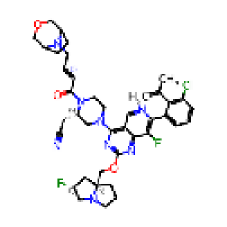 C=C(C)c1c(Cl)cccc1-c1ncc2c(N3CCN(C(=O)/C=C/CN4C5CCC4COC5)[C@@H](CC#N)C3)nc(OC[C@@]34CCCN3C[C@H](F)C4)nc2c1F